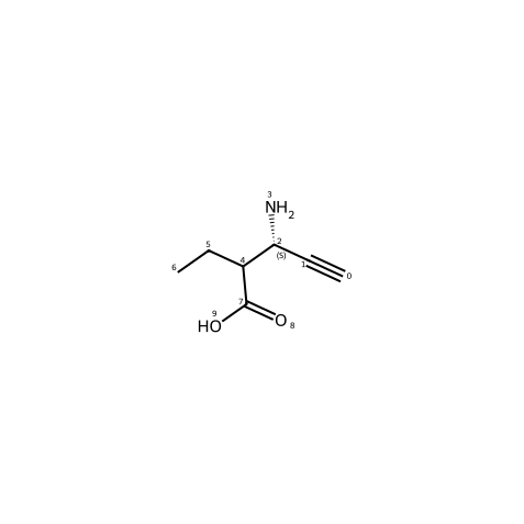 C#C[C@@H](N)C(CC)C(=O)O